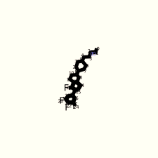 C/C=C/CCC1CCC(C2CCc3c(ccc(-c4cc(F)c(F)c(F)c4)c3F)C2)CC1